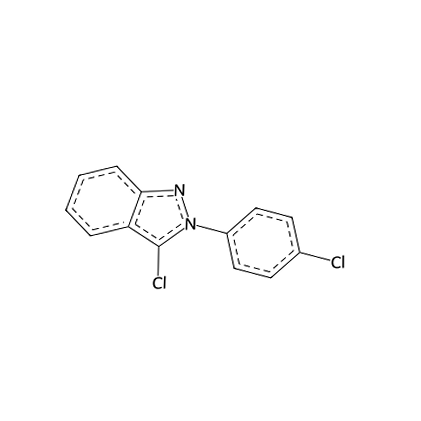 Clc1ccc(-n2nc3ccccc3c2Cl)cc1